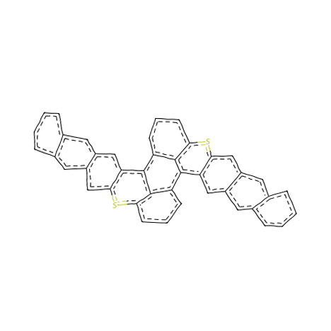 c1ccc2cc3cc4c(cc3cc2c1)sc1cccc2c1c4c1cccc3sc4cc5cc6ccccc6cc5cc4c2c31